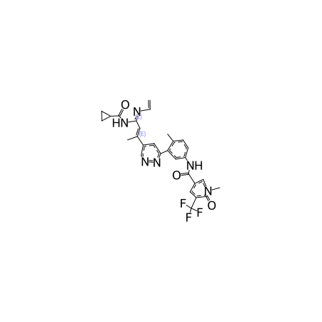 C=C/N=C(\C=C(/C)c1cnnc(-c2cc(NC(=O)c3cc(C(F)(F)F)c(=O)n(C)c3)ccc2C)c1)NC(=O)C1CC1